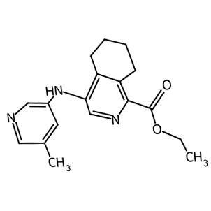 CCOC(=O)c1ncc(Nc2cncc(C)c2)c2c1CCCC2